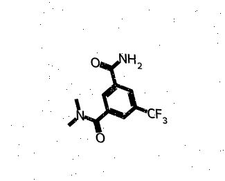 CN(C)C(=O)c1cc(C(N)=O)cc(C(F)(F)F)c1